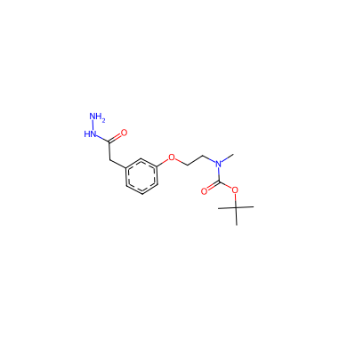 CN(CCOc1cccc(CC(=O)NN)c1)C(=O)OC(C)(C)C